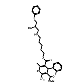 COC(=O)C1=C(C(F)(F)F)NC(C)=C(C(=O)OCCCCCNCC(O)COc2ccccc2)C1c1ccccc1F